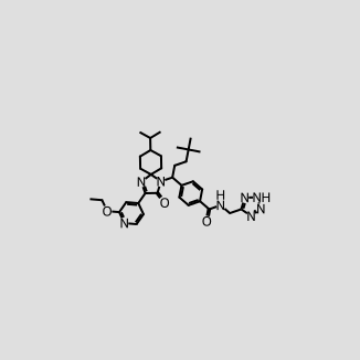 CCOc1cc(C2=NC3(CCC(C(C)C)CC3)N(C(CCC(C)(C)C)c3ccc(C(=O)NCc4nn[nH]n4)cc3)C2=O)ccn1